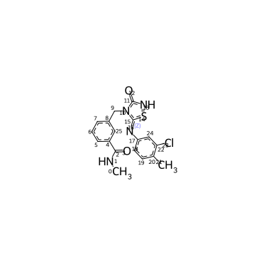 CNC(=O)c1cccc(Cn2c(=O)[nH]s/c2=N\c2ccc(C)c(Cl)c2)c1